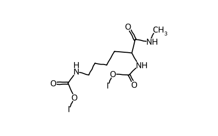 CNC(=O)C(CCCCNC(=O)OI)NC(=O)OI